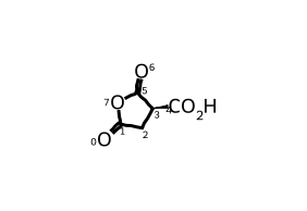 O=C1C[C@H](C(=O)O)C(=O)O1